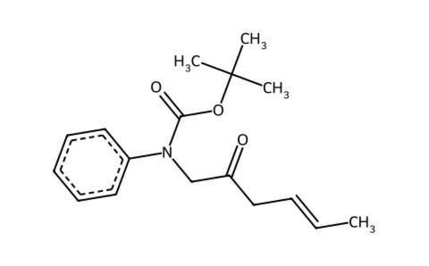 CC=CCC(=O)CN(C(=O)OC(C)(C)C)c1ccccc1